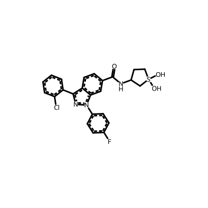 O=C(NC1CCS(O)(O)C1)c1ccc2c(-c3ccccc3Cl)nn(-c3ccc(F)cc3)c2c1